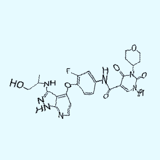 CC(CO)Nc1n[nH]c2nccc(Oc3ccc(NC(=O)c4cn(C(C)C)c(=O)n(C5CCOCC5)c4=O)cc3F)c12